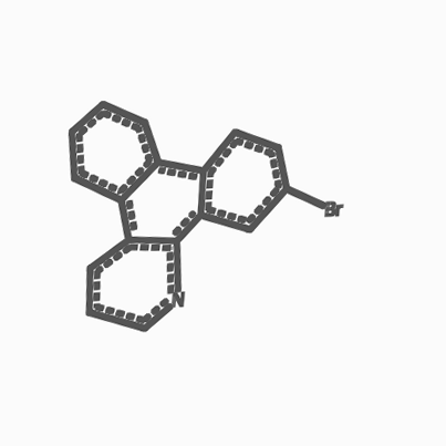 Brc1ccc2c3ccccc3c3cccnc3c2c1